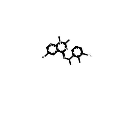 Cc1c(C(C)/N=c2\nc(C)n(C)c3ncc(Br)cc23)cccc1C(F)(F)F